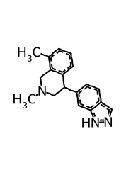 Cc1cccc2c1CN(C)CC2c1ccc2cn[nH]c2c1